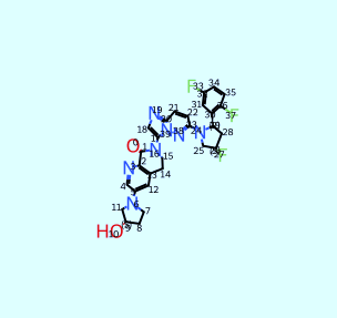 O=C1c2ncc(N3CC[C@H](O)C3)cc2CCN1c1cnc2ccc(N3C[C@@H](F)C[C@@H]3c3cc(F)ccc3F)nn12